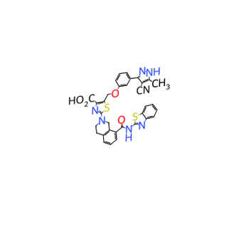 Cc1[nH]nc(-c2cccc(OCc3sc(N4CCc5cccc(C(=O)Nc6nc7ccccc7s6)c5C4)nc3C(=O)O)c2)c1C#N